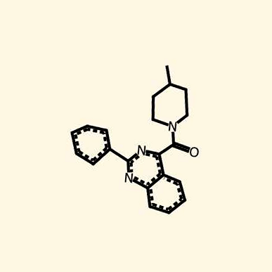 CC1CCN(C(=O)c2nc(-c3ccccc3)nc3ccccc23)CC1